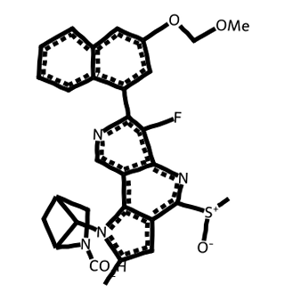 COCOc1cc(-c2ncc3c(nc([S+](C)[O-])c4cc(C)n(C5C6CC5N(C(=O)O)C6)c43)c2F)c2ccccc2c1